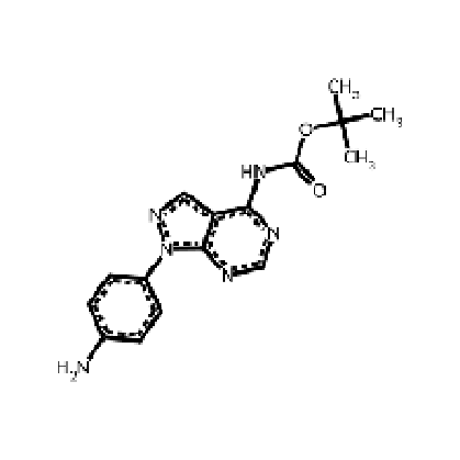 CC(C)(C)OC(=O)Nc1ncnc2c1cnn2-c1ccc(N)cc1